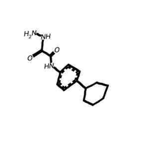 NNC(=O)C(=O)Nc1ccc(C2CCCCC2)cc1